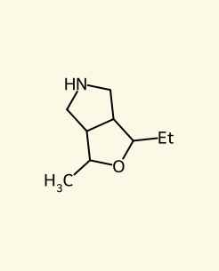 CCC1OC(C)C2CNCC12